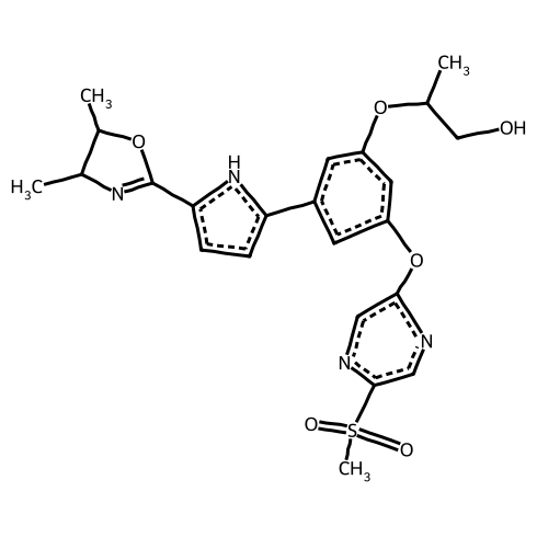 CC(CO)Oc1cc(Oc2cnc(S(C)(=O)=O)cn2)cc(-c2ccc(C3=NC(C)C(C)O3)[nH]2)c1